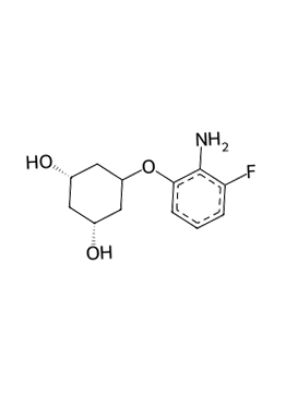 Nc1c(F)cccc1OC1C[C@@H](O)C[C@@H](O)C1